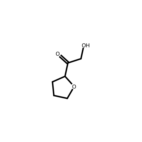 O=C(CO)C1CCCO1